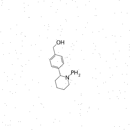 OCc1ccc(C2CCCCN2P)cc1